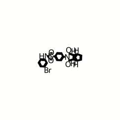 O=C1[C@@H]2[C@H](C(=O)N1c1ccc(S(=O)(=O)Nc3cccc(Br)c3)cc1)[C@@H]1C=C[C@H]2C1